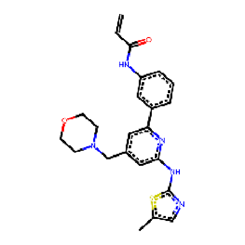 C=CC(=O)Nc1cccc(-c2cc(CN3CCOCC3)cc(Nc3ncc(C)s3)n2)c1